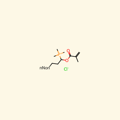 C=C(C)C(=O)OC(CCCCCCCCCCC)[P+](C)(C)C.[Cl-]